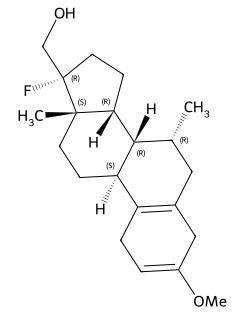 COC1=CCC2=C(C1)C[C@@H](C)[C@@H]1[C@@H]2CC[C@@]2(C)[C@@H]1CC[C@]2(F)CO